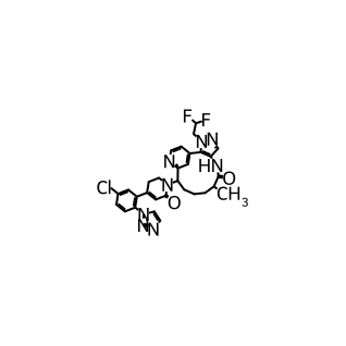 CC1CCCC(N2CCC(c3cc(Cl)ccc3-n3ccnn3)=CC2=O)c2cc(ccn2)-c2c(cnn2CC(F)F)NC1=O